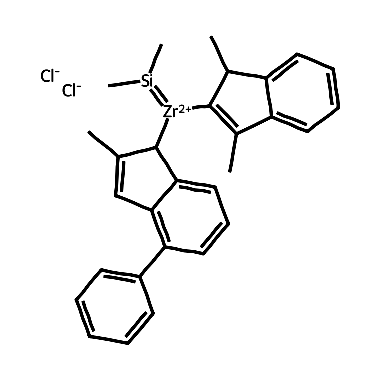 CC1=Cc2c(-c3ccccc3)cccc2[CH]1[Zr+2]([C]1=C(C)c2ccccc2C1C)=[Si](C)C.[Cl-].[Cl-]